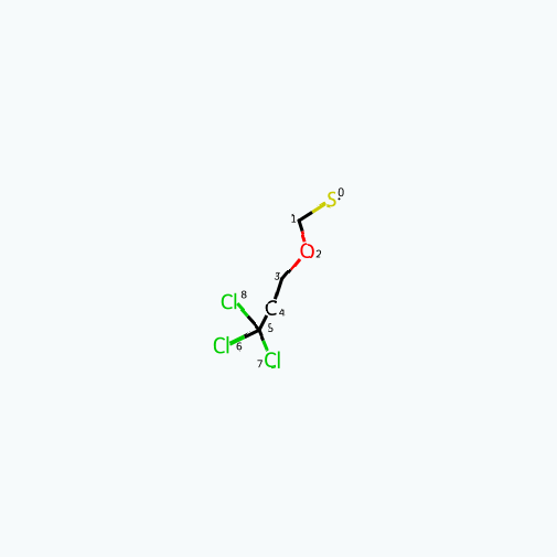 [S]COCCC(Cl)(Cl)Cl